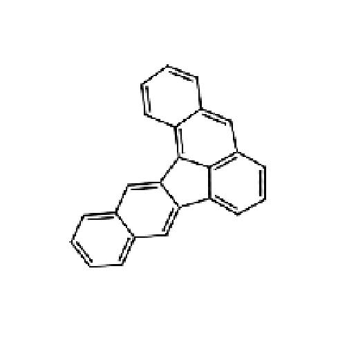 c1ccc2cc3c(cc2c1)-c1cccc2cc4ccccc4c-3c12